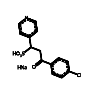 O=C(CC(c1ccncc1)S(=O)(=O)O)c1ccc(Cl)cc1.[NaH]